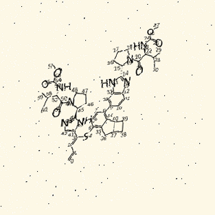 C=C/C=C(\Sc1ccc(-c2ccc3nc([C@@H]4CCCN4C(=O)[C@@H](NC(=O)OC)C(C)C)[nH]c3c2)c2c1CC1CCC21)c1cnc([C@@H]2CCCN2C(=O)[C@@H](NC(=O)OC)C(C)C)[nH]1